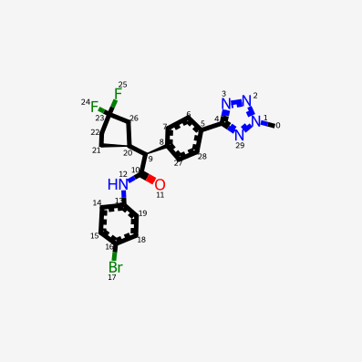 Cn1nnc(-c2ccc([C@@H](C(=O)Nc3ccc(Br)cc3)[C@H]3CCC(F)(F)C3)cc2)n1